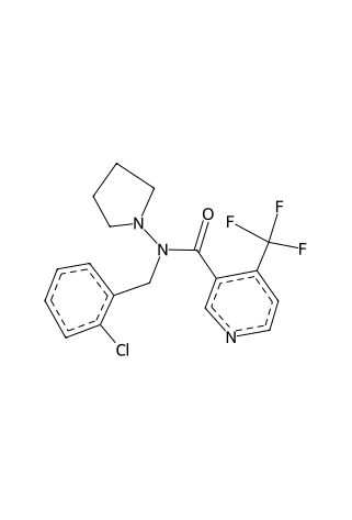 O=C(c1cnccc1C(F)(F)F)N(Cc1ccccc1Cl)N1CCCC1